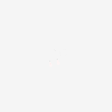 O=C(CC(=O)C1CCCC1)c1ccc(C(F)(F)F)cc1[N+](=O)[O-]